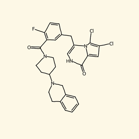 O=C(c1cc(Cc2c[nH]c(=O)c3cc(Cl)c(Cl)n23)ccc1F)N1CCC(N2CCc3ccccc3C2)CC1